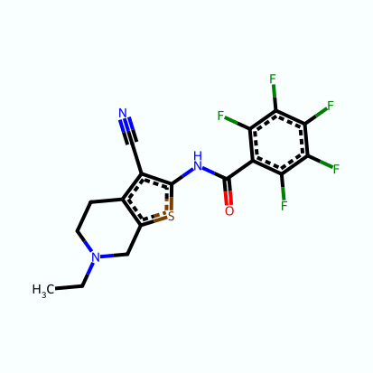 CCN1CCc2c(sc(NC(=O)c3c(F)c(F)c(F)c(F)c3F)c2C#N)C1